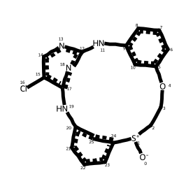 [O-][S+]1CCOc2cccc(c2)Nc2ncc(Cl)c(n2)Nc2cccc1c2